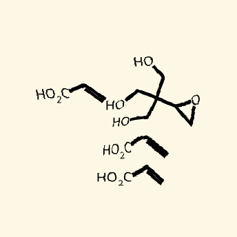 C=CC(=O)O.C=CC(=O)O.C=CC(=O)O.OCC(CO)(CO)C1CO1